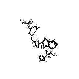 CC(C)N(c1cccc2cc(-c3ncc(CN4CCCC(OC(=O)C(F)(F)F)C4)s3)[nH]c12)S(=O)(=O)c1cccs1